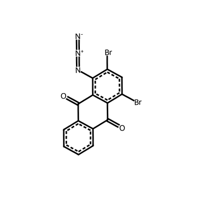 [N-]=[N+]=Nc1c(Br)cc(Br)c2c1C(=O)c1ccccc1C2=O